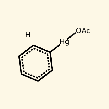 CC(=O)[O][Hg][c]1ccccc1.[H+]